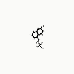 Cc1ccc2c(COC(C)(C)C)cccc2c1